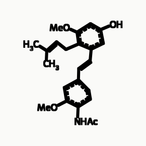 COc1cc(C=Cc2cc(O)cc(OC)c2CC=C(C)C)ccc1NC(C)=O